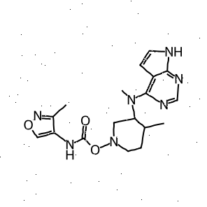 Cc1nocc1NC(=O)ON1CCC(C)C(N(C)c2ncnc3[nH]ccc23)C1